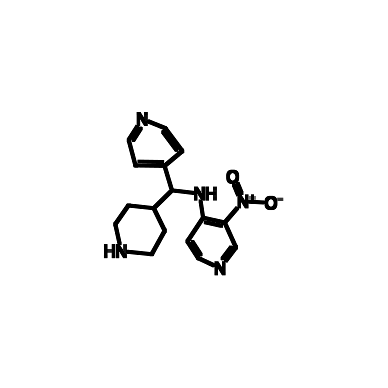 O=[N+]([O-])c1cnccc1NC(c1ccncc1)C1CCNCC1